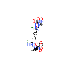 COC(=O)N[C@@H](C(=O)N1[C@H](C)CC[C@H]1c1nc(-c2ccc(-c3ccc(-c4nc([C@@H]5C[C@H]6C#C[C@H]6N5C(=O)[C@H](NC(=O)OC)[C@H]5CCCOC5)[nH]c4Cl)cc3)cc2)c(Cl)[nH]1)[C@H]1CCCOC1